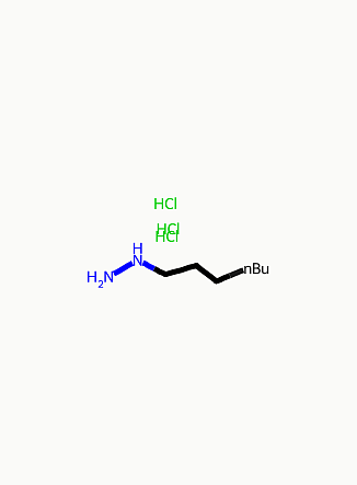 CCCCCCCNN.Cl.Cl.Cl